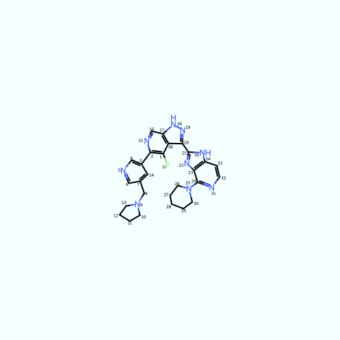 Fc1c(-c2cncc(CN3CCCC3)c2)ncc2[nH]nc(-c3nc4c(N5CCCCC5)nccc4[nH]3)c12